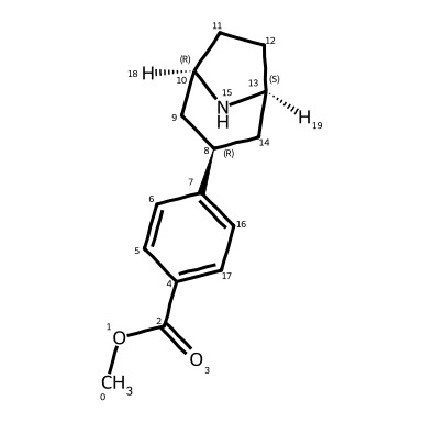 COC(=O)c1ccc([C@H]2C[C@H]3CC[C@@H](C2)N3)cc1